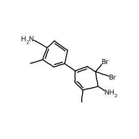 CC1=CC(c2ccc(N)c(C)c2)=CC(Br)(Br)C1N